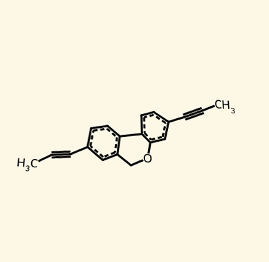 CC#Cc1ccc2c(c1)COc1cc(C#CC)ccc1-2